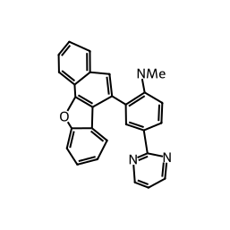 CNc1ccc(-c2ncccn2)cc1-c1cc2ccccc2c2oc3ccccc3c12